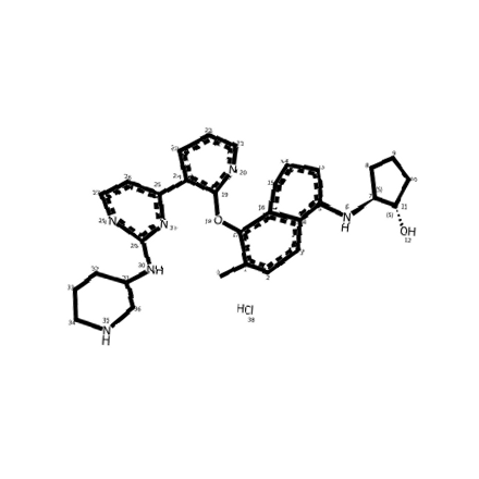 Cc1ccc2c(N[C@H]3CCC[C@@H]3O)cccc2c1Oc1ncccc1-c1ccnc(NC2CCCNC2)n1.Cl